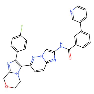 O=C(Nc1cn2nc(-c3c(-c4ccc(F)cc4)nc4n3CCOC4)ccc2n1)c1cccc(-c2cccnc2)c1